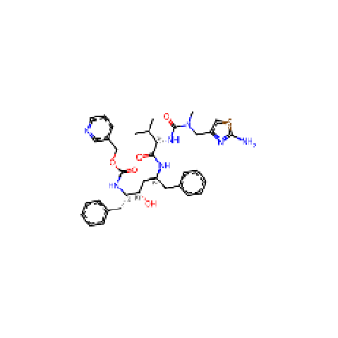 CC(C)[C@H](NC(=O)N(C)Cc1csc(N)n1)C(=O)N[C@@H](Cc1ccccc1)C[C@H](O)[C@H](Cc1ccccc1)NC(=O)OCc1cccnc1